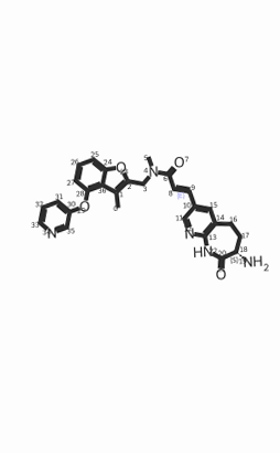 Cc1c(CN(C)C(=O)/C=C/c2cnc3c(c2)CC[C@H](N)C(=O)N3)oc2cccc(Oc3cccnc3)c12